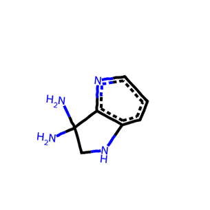 NC1(N)CNc2cccnc21